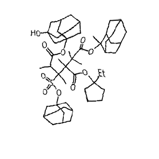 CCC1(OC(=O)C(C)(C(C)(C)C(=O)OC2(C)C3CC4CC(C3)CC2C4)C(C)(C(C)C(=O)OC23CC4CC(CC(O)(C4)C2)C3)S(=O)(=O)OC23CC4CC(CC(C4)C2)C3)CCCC1